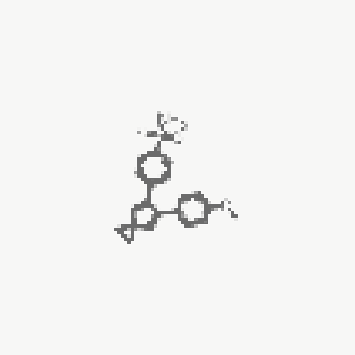 COc1ccc(C2=CC3(C=C2c2ccc(S(N)(=O)=O)cc2)CC3)cc1